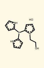 Cl.OCCn1cccc1P(c1ccc[nH]1)c1ccc[nH]1